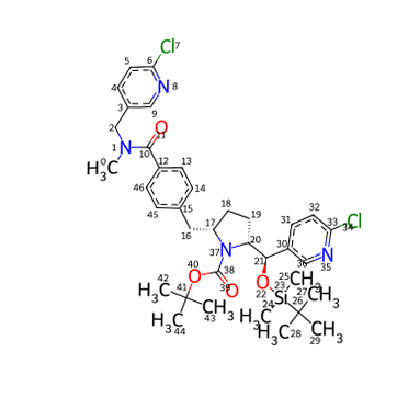 CN(Cc1ccc(Cl)nc1)C(=O)c1ccc(C[C@@H]2CC[C@H]([C@H](O[Si](C)(C)C(C)(C)C)c3ccc(Cl)nc3)N2C(=O)OC(C)(C)C)cc1